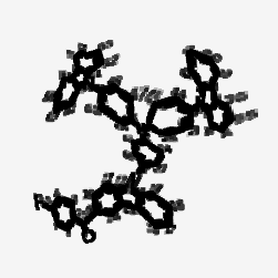 O=C(c1ccc(F)cc1)c1ccc2c(c1)c1ccccc1n2-c1ccc(N(c2ccc(-n3c4ccccc4c4ccccc43)cc2)c2ccc(-n3c4ccccc4c4ccccc43)cc2)cc1